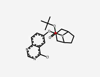 CC(C)(C)OC(=O)N1C2CCC1CC(Oc1ccc3ncnc(Cl)c3c1)C2